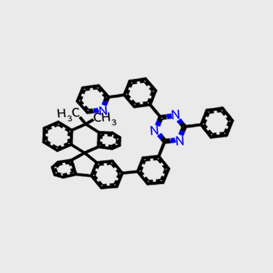 CC1(C)c2ccccc2C2(c3ccccc3-c3ccc(-c4cccc(-c5nc(-c6ccccc6)nc(-c6cccc(-c7ccccn7)c6)n5)c4)cc32)c2ccccc21